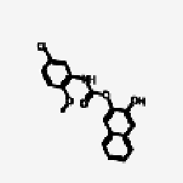 COc1ccc(Cl)cc1NC(=O)Oc1cc2ccccc2cc1O